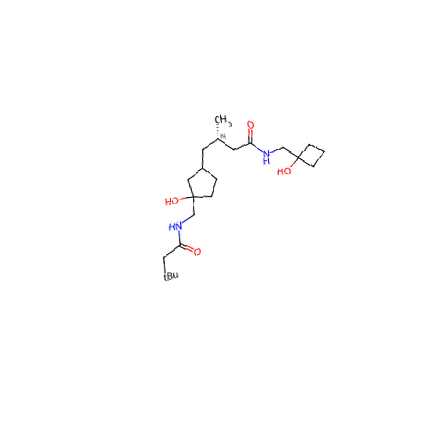 C[C@H](CC(=O)NCC1(O)CCC1)CC1CCC(O)(CNC(=O)CC(C)(C)C)C1